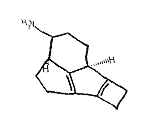 NC1CC[C@H]2C3=C(CC3)C3=C2[C@H]1CC3